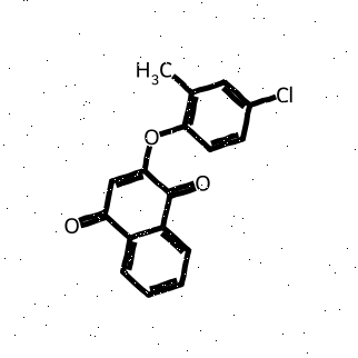 Cc1cc(Cl)ccc1OC1=CC(=O)c2ccccc2C1=O